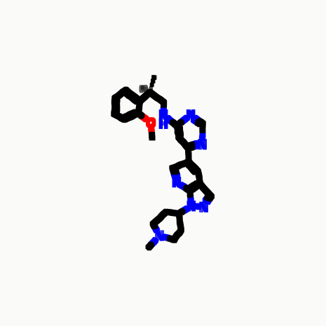 COc1ccccc1[C@H](C)CNc1cc(-c2cnc3c(cnn3C3CCN(C)CC3)c2)ncn1